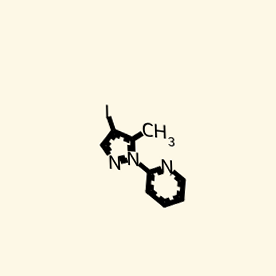 Cc1c(I)cnn1-c1ccccn1